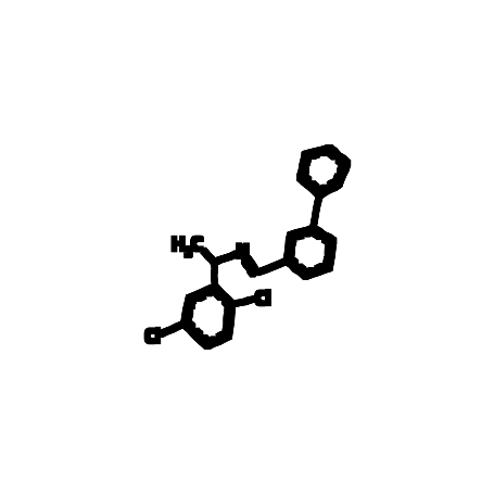 CC(N=Cc1cccc(-c2ccccc2)c1)c1cc(Cl)ccc1Cl